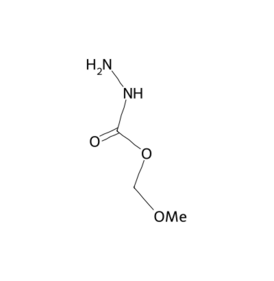 COCOC(=O)NN